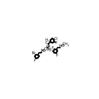 CON=C(C)c1ccc(Cl)c(F)c1.CON=CCc1cc(F)ccc1F.CON=CCc1ccc(F)cc1Br